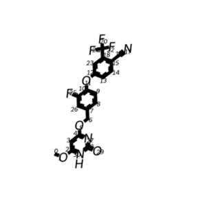 COc1cc(OCc2ccc(Oc3ccc(C#N)c(C(F)(F)F)c3)c(F)c2)nc(=O)[nH]1